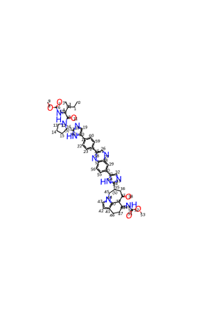 CC[C@H](C)[C@H](NC(=O)OC)C(=O)N1CCC[C@H]1c1ncc(-c2ccc(-c3cnc4cc(-c5cnc([C@H]6CC(=O)C7c8c(ccn8C6)CC[C@@H]7NC(=O)OC)[nH]5)ccc4n3)cc2)[nH]1